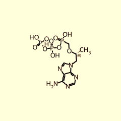 C[C@H](Cn1cnc2c(N)ncnc21)OCP(=O)(O)OP(=O)(O)OP(=O)(O)O